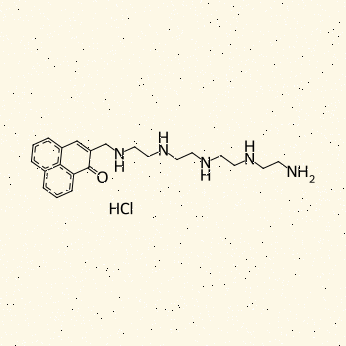 Cl.NCCNCCNCCNCCNCC1=Cc2cccc3cccc(c23)C1=O